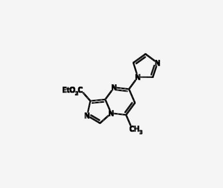 CCOC(=O)c1ncn2c(C)cc(-n3ccnc3)nc12